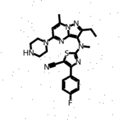 CCc1nn2c(C)cc(N3CCNCC3)nc2c1N(C)c1nc(-c2ccc(F)cc2)c(C#N)s1